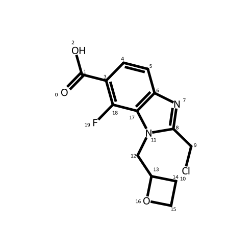 O=C(O)c1ccc2nc(CCl)n(CC3CCO3)c2c1F